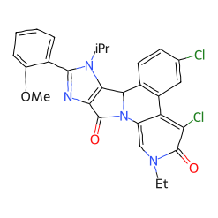 CCn1cc2c(c(Cl)c1=O)-c1cc(Cl)ccc1C1c3c(nc(-c4ccccc4OC)n3C(C)C)C(=O)N21